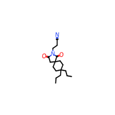 CCCC1(CCC)CCC2(CC1)CC(=O)N(CCC#N)C2=O